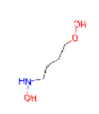 ONCCCCOO